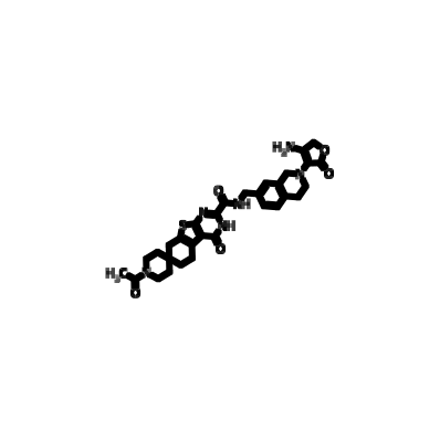 CC(=O)N1CCC2(CCc3c(sc4nc(C(=O)NCc5ccc6c(c5)CN(C5=C(N)COC5=O)CC6)[nH]c(=O)c34)C2)CC1